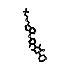 Cc1cc(Oc2nccc3c2ccn3COCC[Si](C)(C)C)ccc1-c1c(C)nn(C2CCCOC2)c(=O)c1C